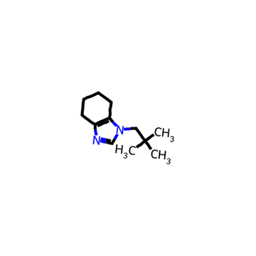 CC(C)(C)Cn1cnc2c1CCCC2